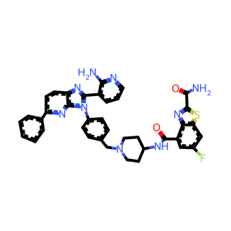 NC(=O)c1nc2c(C(=O)NC3CCN(Cc4ccc(-n5c(-c6cccnc6N)nc6ccc(-c7ccccc7)nc65)cc4)CC3)cc(F)cc2s1